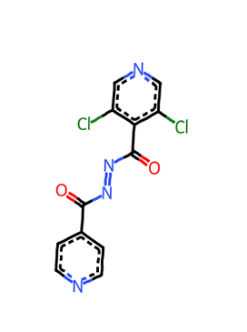 O=C(N=NC(=O)c1c(Cl)cncc1Cl)c1ccncc1